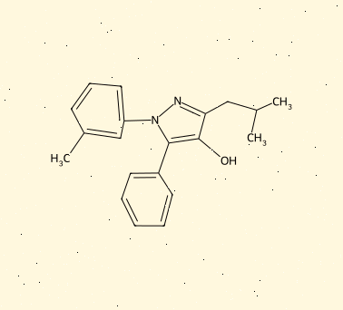 Cc1cccc(-n2nc(CC(C)C)c(O)c2-c2ccccc2)c1